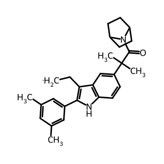 [CH2]Cc1c(-c2cc(C)cc(C)c2)[nH]c2ccc(C(C)(C)C(=O)N3C4CCC3CC4)cc12